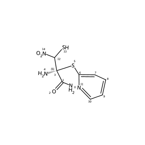 NC(=O)[C@](N)(Sc1ccccn1)C(S)[N+](=O)[O-]